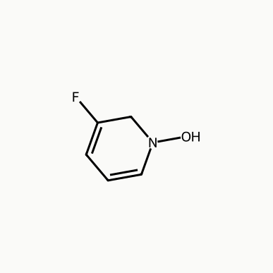 ON1C=CC=C(F)C1